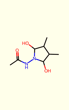 CC(=O)NN1C(O)C(C)C(C)C1O